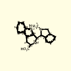 CN1Cc2ccccc2C1C1NC(C(=O)O)Cc2c1[nH]c1ccccc21